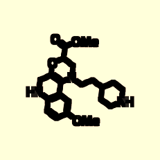 COC(=O)C1CN(CCC2CCNCC2)C2=C(CNc3ccc(OC)cc32)O1